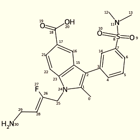 Cc1c(-c2cccc(S(=O)(=O)N(C)C)c2)c2cc(C(=O)O)ccc2n1CC(F)=CCN